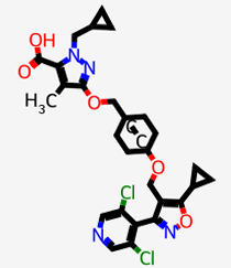 Cc1c(OCC23CCC(OCc4c(-c5c(Cl)cncc5Cl)noc4C4CC4)(CC2)CC3)nn(CC2CC2)c1C(=O)O